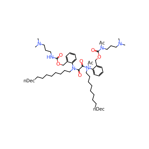 CCCCCCCCCCCCCCCCCCN(C(=O)C(=O)[N+](CCCCCCCCCCCCCCCCCC)(C(C)=O)c1ccccc1COC(=O)N(CCCN(C)C)C(C)=O)c1ccccc1COC(=O)NCCCN(C)C